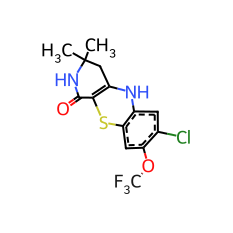 CC1(C)CC2=C(Sc3cc(OC(F)(F)F)c(Cl)cc3N2)C(=O)N1